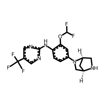 FC(F)Oc1cc(N2C[C@H]3C[C@@H]2CN3)ccc1Nc1ncc(C(F)(F)F)cn1